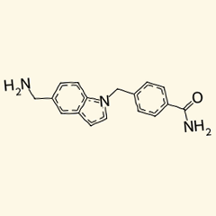 NCc1ccc2c(ccn2Cc2ccc(C(N)=O)cc2)c1